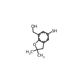 CC1(C)Cc2cc(S)cc(CO)c2O1